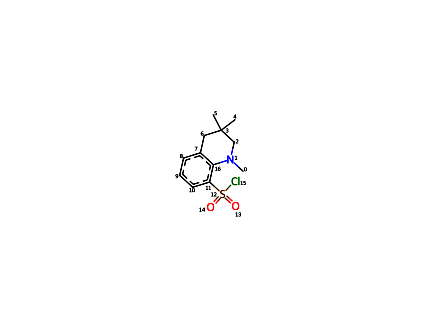 CN1CC(C)(C)Cc2cccc(S(=O)(=O)Cl)c21